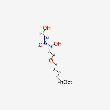 CCCCCCCCCCCCOCCC(O)[NH+]([O-])CCO